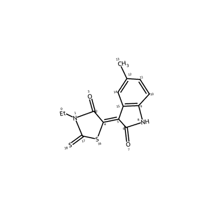 CCN1C(=O)/C(=C2/C(=O)Nc3ccc(C)cc32)SC1=S